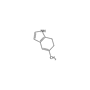 CC1=Cc2cc[nH]c2CC1